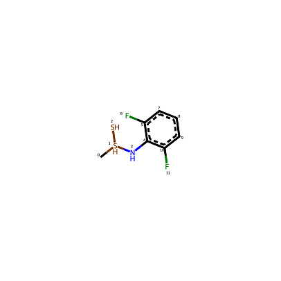 C[SH](S)Nc1c(F)cccc1F